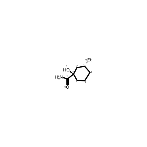 CC[C@@H]1CCC[C@](O)(C(N)=O)C1